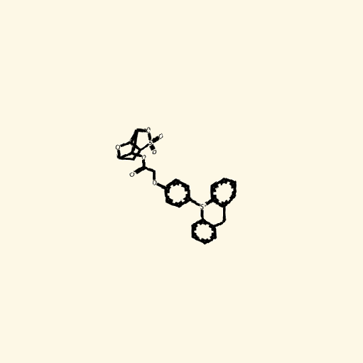 O=C(COc1ccc([S+]2c3ccccc3Cc3ccccc32)cc1)OC1C2CC3C(O2)C1OS3(=O)=O